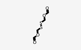 O=COCSSCOC=O